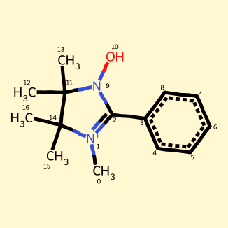 C[N+]1=C(c2ccccc2)N(O)C(C)(C)C1(C)C